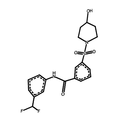 O=C(Nc1cccc(C(F)F)c1)c1cccc(S(=O)(=O)N2CCC(O)CC2)c1